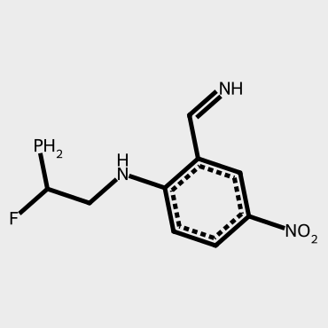 N=Cc1cc([N+](=O)[O-])ccc1NCC(F)P